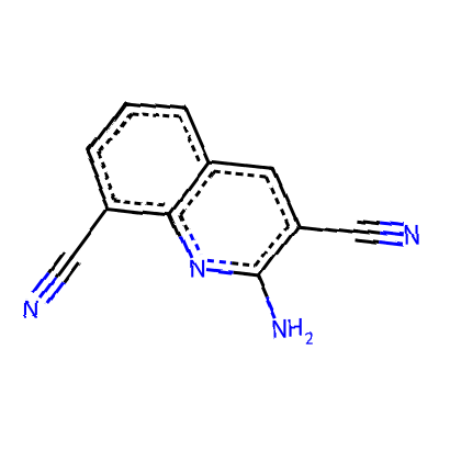 N#Cc1cc2cccc(C#N)c2nc1N